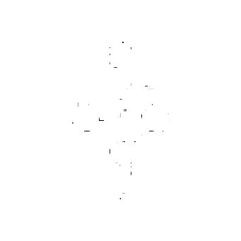 COc1ccc(C(=NOCc2ccccc2)c2ccccc2)c(-c2cccc(N)c2)c1